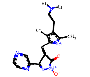 CCN(CC)CCc1c(C)[nH]c(C=C2C(=O)[NH+]([O-])N=C2c2cnccn2)c1C